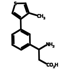 Cc1cscc1-c1cccc(C(N)CC(=O)O)c1